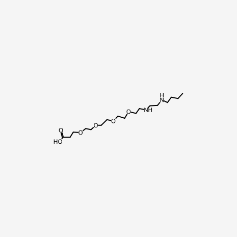 CCCCNCCNCCOCCOCCOCCOCCC(=O)O